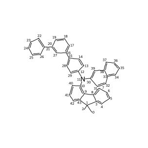 CC1(C)c2ccccc2-c2c(N(c3ccc(-c4cccc(-c5ccccc5)c4)cc3)c3ccc4ccccc4c3)cccc21